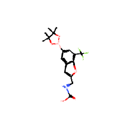 CC1(C)OB(c2cc(C(F)(F)F)c3oc(CNC(=O)O)cc3c2)OC1(C)C